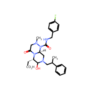 CC(CN1C[C@H]2N(C(=O)CN(C)N2C(=O)NCc2ccc(F)cc2)[C@@H](CC(=O)O)C1O)c1ccccc1